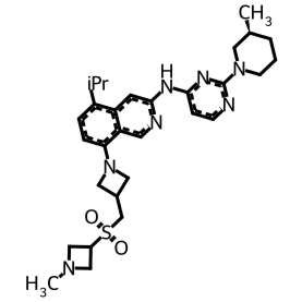 CC(C)c1ccc(N2CC(CS(=O)(=O)C3CN(C)C3)C2)c2cnc(Nc3ccnc(N4CCC[C@H](C)C4)n3)cc12